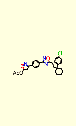 CC(=O)OC1CC(c2ccc(-c3noc(CCC4(c5ccc(Cl)cc5)CCCCC4)n3)cc2)=NO1